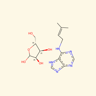 CC(C)=CCNc1ncnc2nc[nH]c12.OC[C@H]1OC(O)[C@H](O)[C@@H]1O